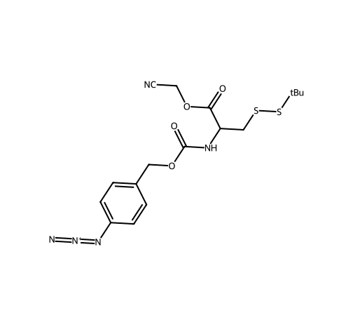 CC(C)(C)SSCC(NC(=O)OCc1ccc(N=[N+]=[N-])cc1)C(=O)OCC#N